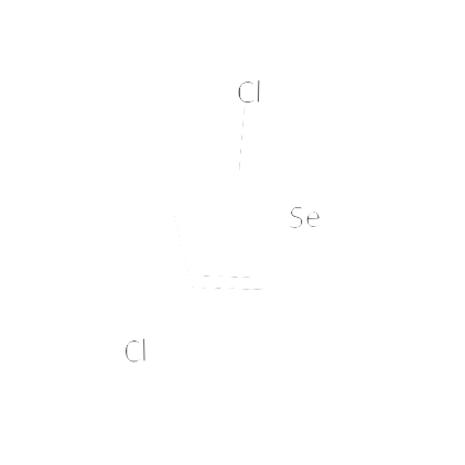 Clc1c[se]c(Cl)c1